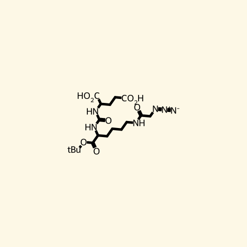 CC(C)(C)OC(=O)C(CCCCNC(=O)CN=[N+]=[N-])NC(=O)NC(CCC(=O)O)C(=O)O